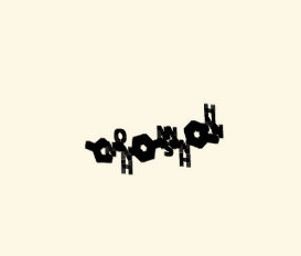 CC1CCN(C(=O)Nc2ccc(-c3nnc(Nc4ccc5[nH]ncc5c4)s3)cc2)C1